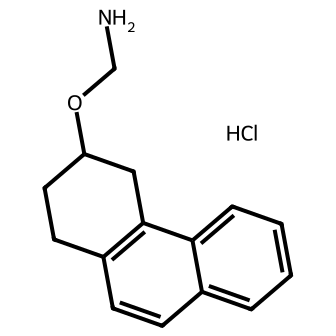 Cl.NCOC1CCc2ccc3ccccc3c2C1